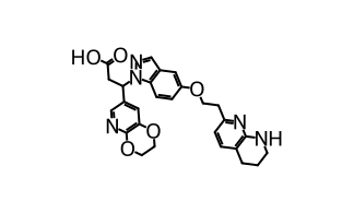 O=C(O)CC(c1cnc2c(c1)OCCO2)n1ncc2cc(OCCc3ccc4c(n3)NCCC4)ccc21